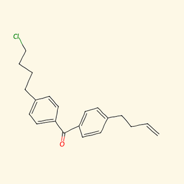 C=CCCc1ccc(C(=O)c2ccc(CCCCCl)cc2)cc1